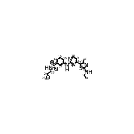 CCNc1nc(C)c(-c2ccnc(Nc3cccc(S(=O)(=O)NCCOC)c3)n2)s1